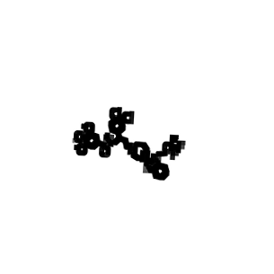 COc1cc(C(=O)N(C)CC(CCN2CCCN(c3nc4ccccc4n3CCOC(F)(F)F)CC2)c2ccc(Cl)c(Cl)c2)cc(OC)c1OC